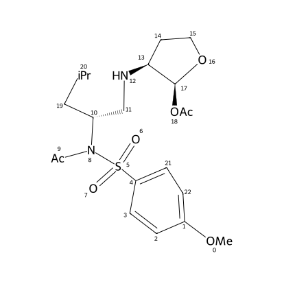 COc1ccc(S(=O)(=O)N(C(C)=O)[C@@H](CN[C@H]2CCO[C@H]2OC(C)=O)CC(C)C)cc1